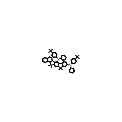 CC(C)(C)c1ccc(N(c2ccccc2)c2ccc3c(c2)C(C)(C)c2cc4c(c(N(c5ccccc5)c5ccc(C(C)(C)C)cc5)c2-3)-c2ccc3ccccc3c2C4(C)C)cc1